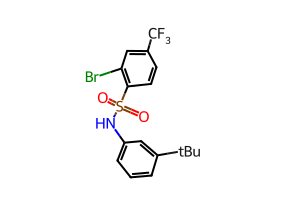 CC(C)(C)c1cccc(NS(=O)(=O)c2ccc(C(F)(F)F)cc2Br)c1